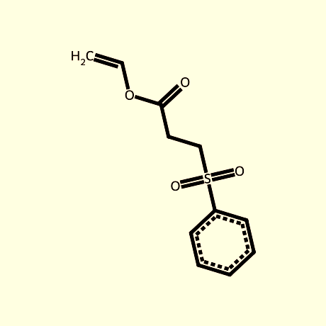 C=COC(=O)CCS(=O)(=O)c1ccccc1